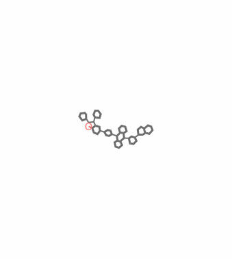 c1ccc(C2Oc3ccc(-c4ccc(-c5c6ccccc6c(-c6cccc(-c7ccc8ccccc8c7)c6)c6ccccc56)cc4)cc3C2c2ccccc2)cc1